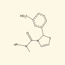 CCCN(C)C(=O)N1C=CSC1c1cccc(C(=O)O)c1